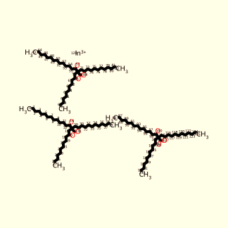 CCCCCCCCCCCCCC(=O)C(CCCCCCCCCCCC)(CCCCCCCCCCCC)C(=O)[O-].CCCCCCCCCCCCCC(=O)C(CCCCCCCCCCCC)(CCCCCCCCCCCC)C(=O)[O-].CCCCCCCCCCCCCC(=O)C(CCCCCCCCCCCC)(CCCCCCCCCCCC)C(=O)[O-].[In+3]